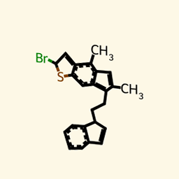 CC1=Cc2c(C)c3c(cc2=C1CCC1C=Cc2ccccc21)SC(Br)C=3